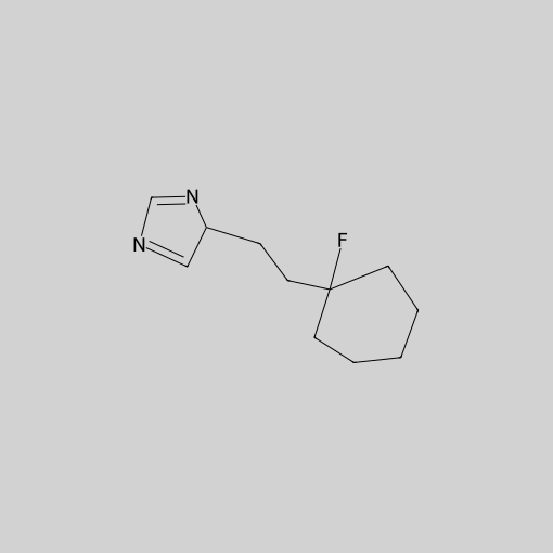 FC1(CCC2C=NC=N2)CCCCC1